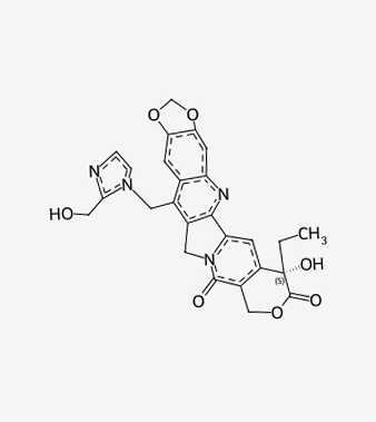 CC[C@@]1(O)C(=O)OCc2c1cc1n(c2=O)Cc2c-1nc1cc3c(cc1c2Cn1ccnc1CO)OCO3